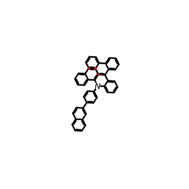 c1ccc(N(c2ccc(-c3ccc4ccccc4c3)cc2)c2cccc3ccccc23)c(-c2cc3ccccc3c3ccccc23)c1